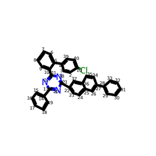 Clc1ccc(-c2ccccc2-c2nc(-c3ccccc3)nc(-c3ccc4cc(-c5ccccc5)ccc4c3)n2)cc1